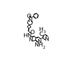 Cc1ccncc1-c1cc2cc(NC(=O)C=C3CC4(CCN(C(=O)c5ccccc5)CC4)C3)ncc2c(N)n1